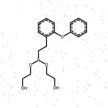 OCCON(CCc1ccccc1Oc1ccccc1)OCCO